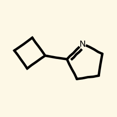 C1CN=C(C2CCC2)C1